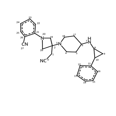 N#CCC1(N2CCC(NC3CC3c3ccccc3)CC2)CN(c2ccccc2C#N)C1